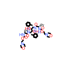 CC(C)[C@H](NC(=O)OCCN1CCOCC1)C(=O)N[C@@H](Cc1ccccc1)[C@H](O)[C@H](O)[C@H](Cc1ccccc1)NC(=O)[C@@H](NC(=O)OCCN1CCOCC1)C(C)C